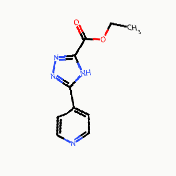 CCOC(=O)c1nnc(-c2ccncc2)[nH]1